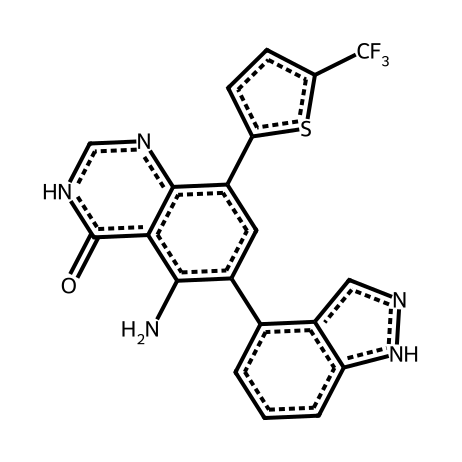 Nc1c(-c2cccc3[nH]ncc23)cc(-c2ccc(C(F)(F)F)s2)c2nc[nH]c(=O)c12